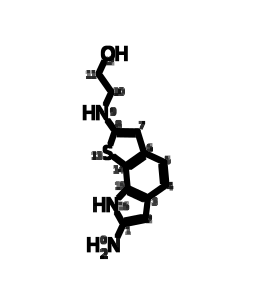 Nc1cc2ccc3cc(NCCO)sc3c2[nH]1